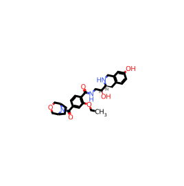 CCOc1cc(C(=O)N2C3CCC2COC3)ccc1C(=O)NC[C@@H](O)[C@@H]1Cc2ccc(O)cc2CN1